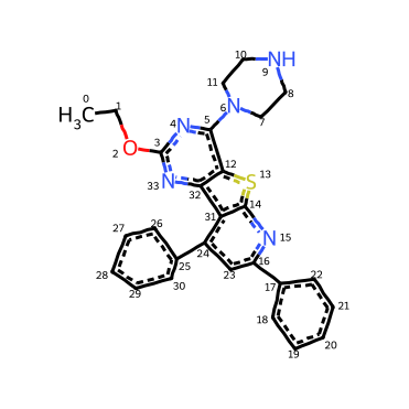 CCOc1nc(N2CCNCC2)c2sc3nc(-c4ccccc4)cc(-c4ccccc4)c3c2n1